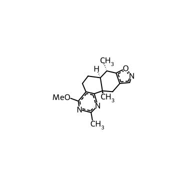 COc1nc(C)nc2c1CC[C@H]1[C@H](C)c3oncc3C[C@]21C